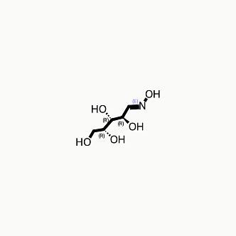 OC[C@@H](O)[C@H](O)[C@H](O)/C=N/O